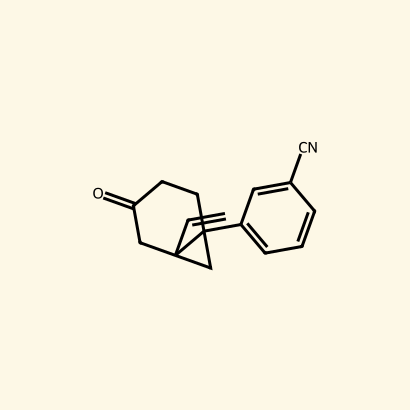 C=CC12CC(=O)CCC1(c1cccc(C#N)c1)C2